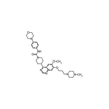 COc1cc2c(C3CCN(C(=O)Nc4ccc(N5CCOCC5)cc4)CC3)ncnc2cc1OCCCN1CCN(C)CC1